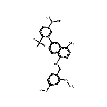 COc1ccc(CNc2nnc(C)c3cc(-c4cc(B(O)O)ccc4C(F)(F)F)ccc23)c(OC)c1